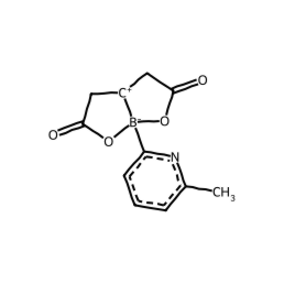 Cc1cccc([B-]23OC(=O)C[C+]2CC(=O)O3)n1